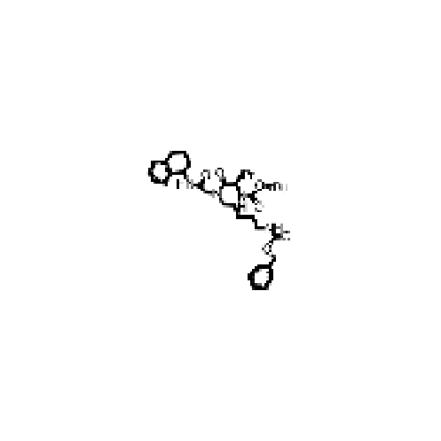 CC(C)C(NC(=O)OC(C)(C)C)C(=O)N(CCCCCNC(=O)OCc1ccccc1)CC(=O)NC1CCCc2ccccc21